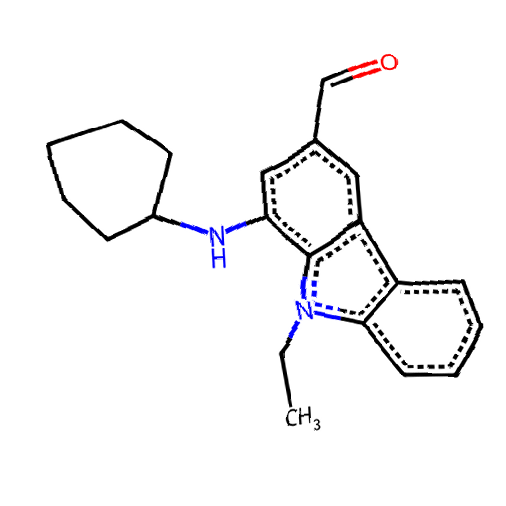 CCn1c2ccccc2c2cc(C=O)cc(NC3CCCCC3)c21